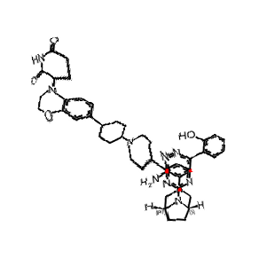 Nc1nnc(-c2ccccc2O)cc1N1C[C@H]2CC[C@@H](C1)N2c1nccc(C2CCN(C3CCC(c4ccc5c(c4)OCCN5C4CCC(=O)NC4=O)CC3)CC2)n1